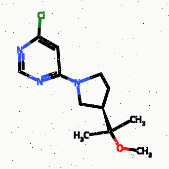 COC(C)(C)[C@@H]1CCN(c2cc(Cl)ncn2)C1